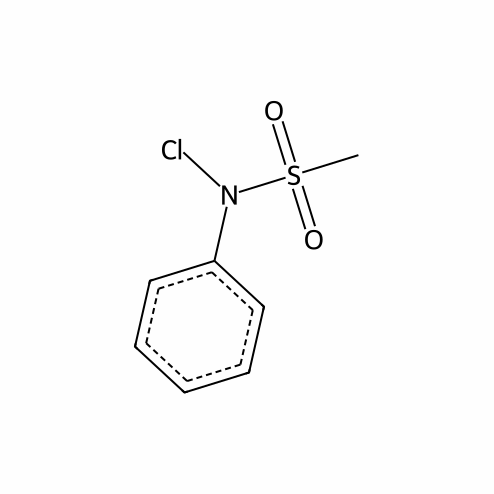 CS(=O)(=O)N(Cl)c1ccccc1